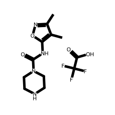 Cc1noc(NC(=O)N2CCNCC2)c1C.O=C(O)C(F)(F)F